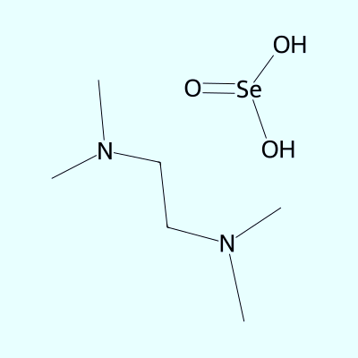 CN(C)CCN(C)C.O=[Se](O)O